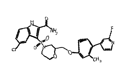 Cc1cc(OCC2CN(S(=O)(=O)c3c(C(N)=O)[nH]c4ccc(Cl)cc34)CCO2)ccc1-c1ccnc(F)c1